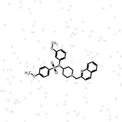 COc1ccc(S(=O)(=O)N(c2cccc(OC)c2)C2CCN(Cc3ccc4ccccc4n3)CC2)cc1